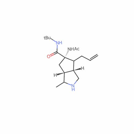 C=CCC1[C@@H]2CNC(C)[C@@H]2C[C@@]1(NC(C)=O)C(=O)NC(C)(C)C